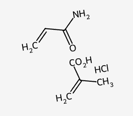 C=C(C)C(=O)O.C=CC(N)=O.Cl